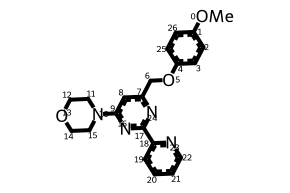 COc1ccc(OCc2cc(N3CCOCC3)nc(-c3ccccn3)n2)cc1